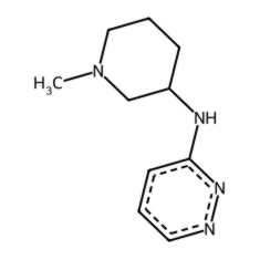 CN1CCCC(Nc2cccnn2)C1